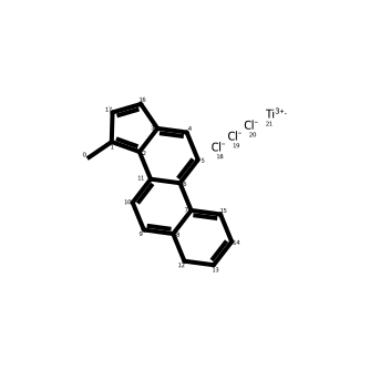 CC1=c2c(ccc3c4c(ccc23)CC=CC=4)C=C1.[Cl-].[Cl-].[Cl-].[Ti+3]